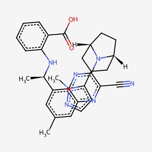 Cc1cc([C@@H](C)Nc2ccccc2C(=O)O)c2nc(N3[C@@H]4CC[C@H]3CC(c3ccnn3C)C4)c(C#N)nc2c1